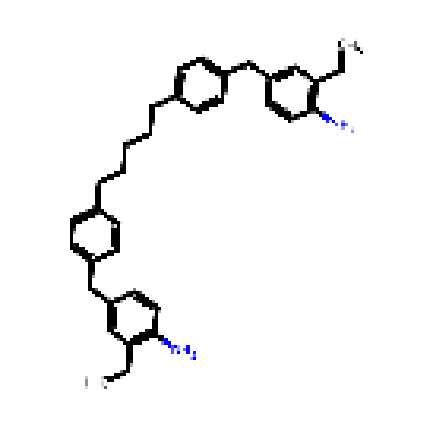 CCc1cc(Cc2ccc(CCCCCc3ccc(Cc4ccc(N)c(CC)c4)cc3)cc2)ccc1N